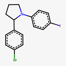 Brc1ccc(C2CCCN2c2ccc(I)cc2)cc1